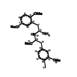 COc1ccc(OC)c(CC(N)NC(Cc2ccc(I)c(OC)c2)OC)c1